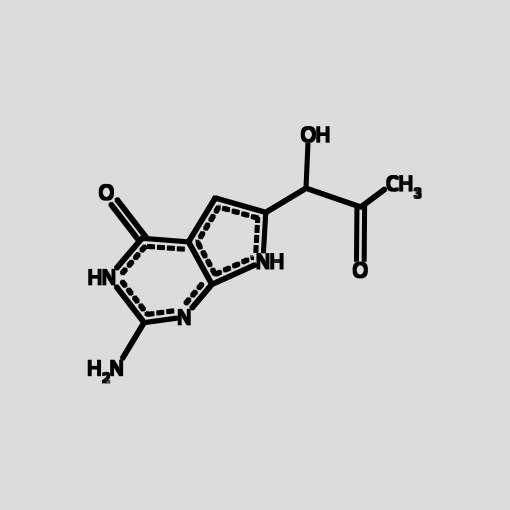 CC(=O)C(O)c1cc2c(=O)[nH]c(N)nc2[nH]1